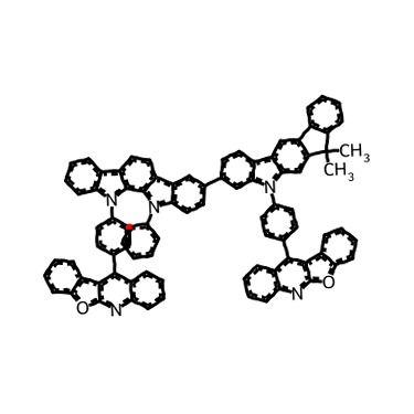 CC1(C)c2ccccc2-c2cc3c4ccc(-c5ccc6c(c5)c5ccc7c8ccccc8n(-c8ccc(-c9c%10ccccc%10nc%10oc%11ccccc%11c9%10)cc8)c7c5n6-c5ccccc5)cc4n(-c4ccc(-c5c6ccccc6nc6oc7ccccc7c56)cc4)c3cc21